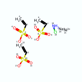 C=CS(=O)(=O)[O-].C=CS(=O)(=O)[O-].C=CS(=O)(=O)[O-].NCl.[Na+].[Ni+2]